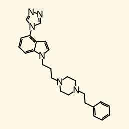 c1ccc(CCN2CCN(CCCn3ccc4c(-n5cnnc5)cccc43)CC2)cc1